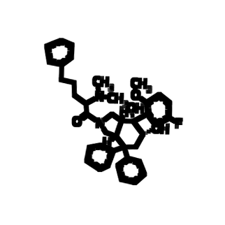 COc1ccc(F)cc1[C@@]1(O)[C@H](O)CC(c2ccccc2)(c2ccccc2)[C@@H]2CN(C(=O)C(CCCc3ccccc3)N(C)C)C[C@@H]21